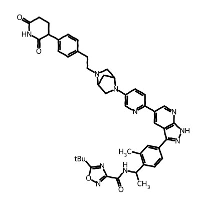 Cc1cc(-c2n[nH]c3ncc(-c4ccc(N5CC6CC5CN6CCc5ccc(C6CCC(=O)NC6=O)cc5)cn4)cc23)ccc1C(C)NC(=O)c1noc(C(C)(C)C)n1